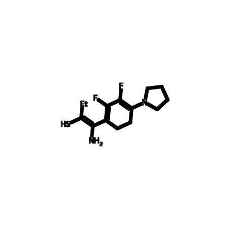 CC/C(S)=C(/N)C1=C(F)C(F)=C(N2CCCC2)CC1